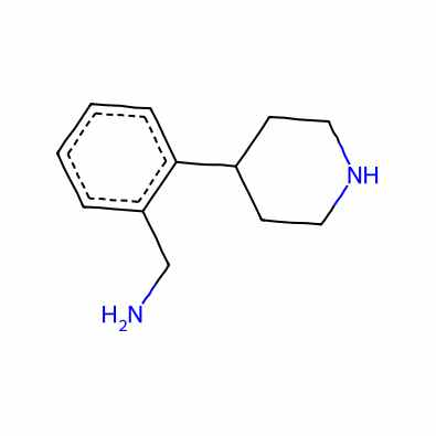 NCc1ccccc1C1CCNCC1